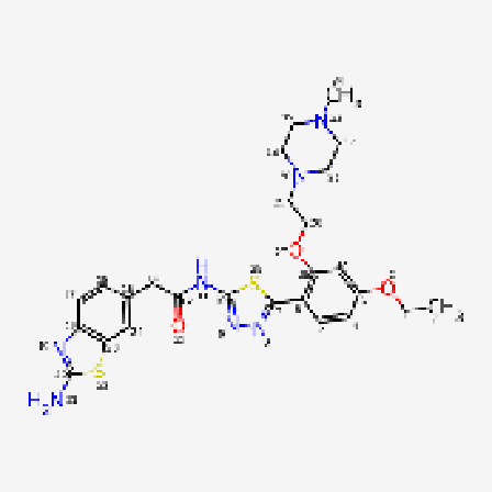 CCOc1ccc(-c2nnc(NC(=O)Cc3ccc4nc(N)sc4c3)s2)c(OCCN2CCN(C)CC2)c1